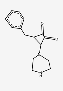 O=C1C(=O)C(N2CCNCC2)C1Cc1ccccc1